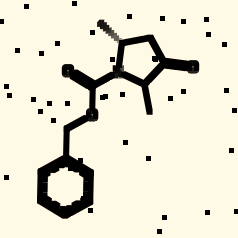 CC1C(=O)C[C@@H](C)N1C(=O)OCc1ccccc1